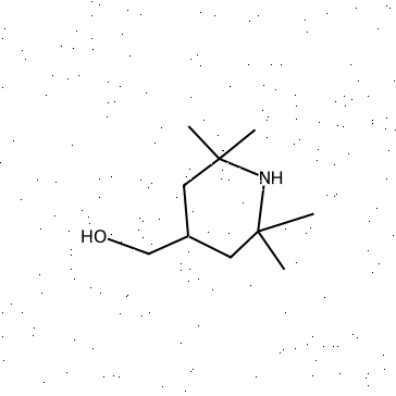 CC1(C)CC(CO)CC(C)(C)N1